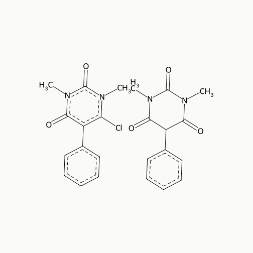 CN1C(=O)C(c2ccccc2)C(=O)N(C)C1=O.Cn1c(Cl)c(-c2ccccc2)c(=O)n(C)c1=O